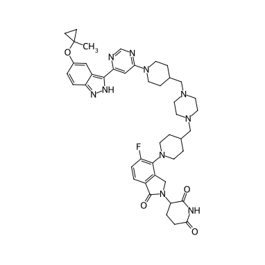 CC1(Oc2ccc3n[nH]c(-c4cc(N5CCC(CN6CCN(CC7CCN(c8c(F)ccc9c8CN(C8CCC(=O)NC8=O)C9=O)CC7)CC6)CC5)ncn4)c3c2)CC1